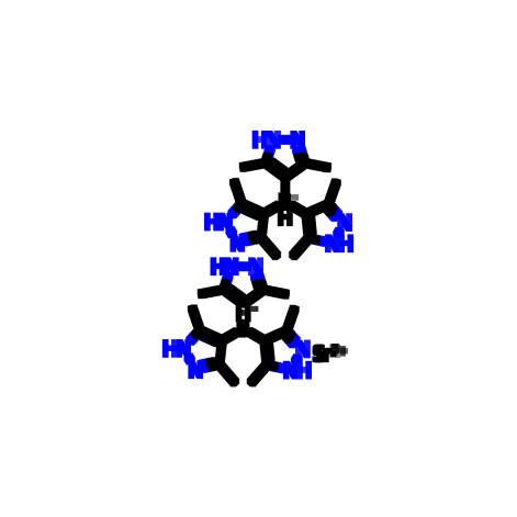 Cc1n[nH]c(C)c1[BH-](c1c(C)n[nH]c1C)c1c(C)n[nH]c1C.Cc1n[nH]c(C)c1[BH-](c1c(C)n[nH]c1C)c1c(C)n[nH]c1C.[Sr+2]